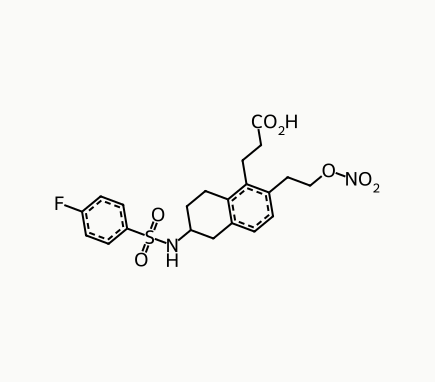 O=C(O)CCc1c(CCO[N+](=O)[O-])ccc2c1CCC(NS(=O)(=O)c1ccc(F)cc1)C2